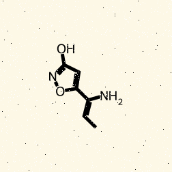 C/C=C(\N)c1cc(O)no1